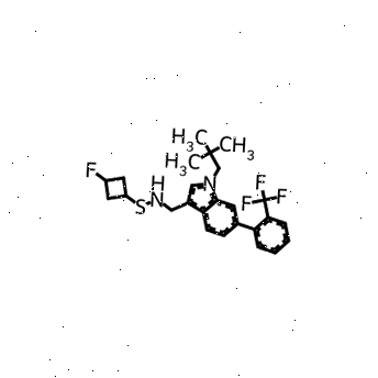 CC(C)(C)Cn1cc(CNSC2CC(F)C2)c2ccc(-c3ccccc3C(F)(F)F)cc21